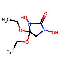 CCOC1(OCC)CN(O)C(=O)N1O